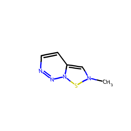 CN1C=C2C=CN=NN2S1